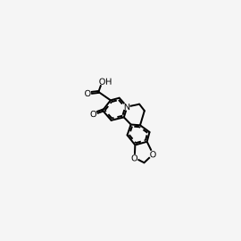 O=C(O)c1cn2c(cc1=O)-c1cc3c(cc1CC2)OCO3